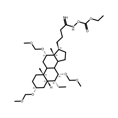 CCOC(=O)ONC(=N)CCC[C@H]1CCC2C3C(C[C@H](OCOC)[C@@]21C)[C@@]1(C)CC[C@@H](OCOC)C[C@H]1[C@@H](CC)[C@H]3OCOC